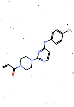 C=CC(=O)N1CCN(c2nccc(Nc3ccc(C(F)(F)F)cc3)n2)CC1